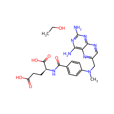 CCO.CN(Cc1cnc2nc(N)nc(N)c2n1)c1ccc(C(=O)N[C@@H](CCC(=O)O)C(=O)O)cc1